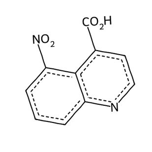 O=C(O)c1ccnc2cccc([N+](=O)[O-])c12